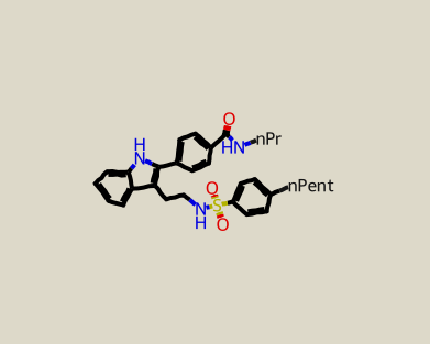 CCCCCc1ccc(S(=O)(=O)NCCc2c(-c3ccc(C(=O)NCCC)cc3)[nH]c3ccccc23)cc1